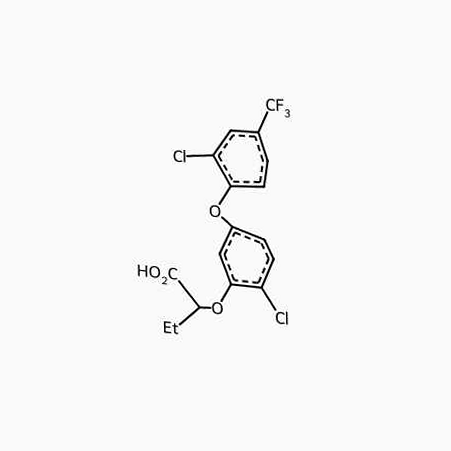 CCC(Oc1cc(Oc2ccc(C(F)(F)F)cc2Cl)ccc1Cl)C(=O)O